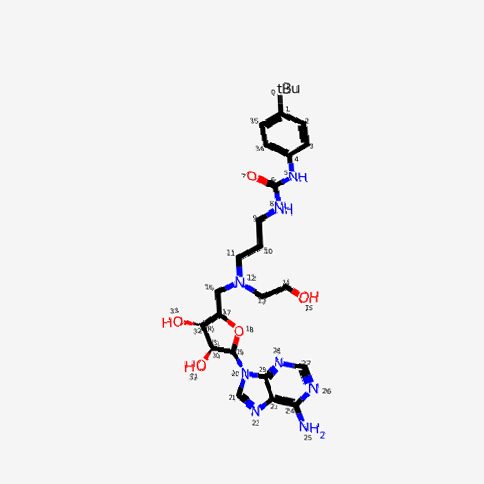 CC(C)(C)c1ccc(NC(=O)NCCCN(CCO)CC2OC(n3cnc4c(N)ncnc43)[C@@H](O)[C@H]2O)cc1